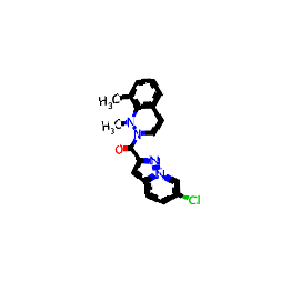 Cc1cccc2c1N(C)N(C(=O)c1cc3ccc(Cl)cn3n1)CC2